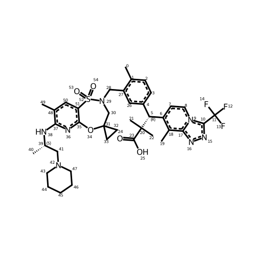 Cc1ccc([C@H](c2ccn3c(C(F)(F)F)nnc3c2C)C(C)(C)C(=O)O)cc1CN1CC2(CC2)Oc2nc(N[C@@H](C)CN3CCCCC3)c(C)cc2S1(=O)=O